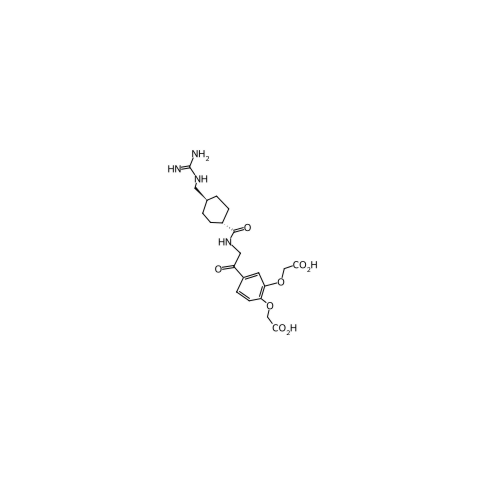 N=C(N)NC[C@H]1CC[C@H](C(=O)NCC(=O)c2ccc(OCC(=O)O)c(OCC(=O)O)c2)CC1